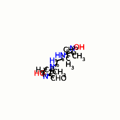 CC(=NO)C(C)(C)NCCCNC(C)(C)C(C=O)=NO